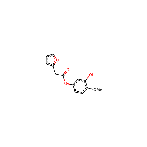 COc1ccc(OC(=O)Cc2ccco2)cc1O